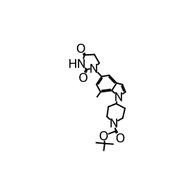 Cc1cc(N2CCC(=O)NC2=O)cc2ccn(C3CCN(C(=O)OC(C)(C)C)CC3)c12